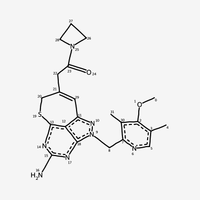 COc1c(C)cnc(Cn2nc3c4c(nc(N)nc42)SCC(CC(=O)N2CCC2)=C3)c1C